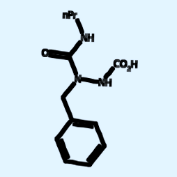 CCCNC(=O)N(Cc1ccccc1)NC(=O)O